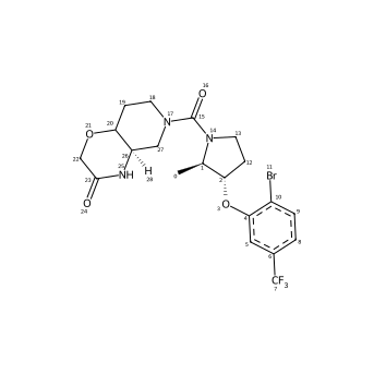 C[C@@H]1[C@@H](Oc2cc(C(F)(F)F)ccc2Br)CCN1C(=O)N1CCC2OCC(=O)N[C@@H]2C1